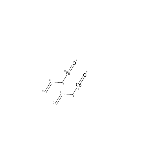 C=C[CH2][Co]=[O].C=C[CH2][Ni]=[O]